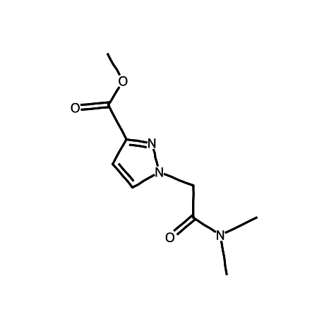 COC(=O)c1ccn(CC(=O)N(C)C)n1